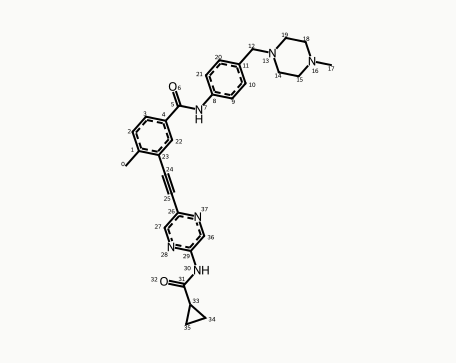 Cc1ccc(C(=O)Nc2ccc(CN3CCN(C)CC3)cc2)cc1C#Cc1cnc(NC(=O)C2CC2)cn1